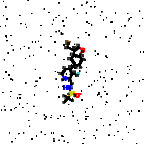 CC(C)(C)[S+]([O-])NCc1nccc(-c2ccc3occ(CBr)c3c2)c1F